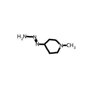 CN1CCC(N=NN)CC1